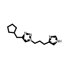 c1nc(CCCn2cc(CC3CCCC3)nn2)c[nH]1